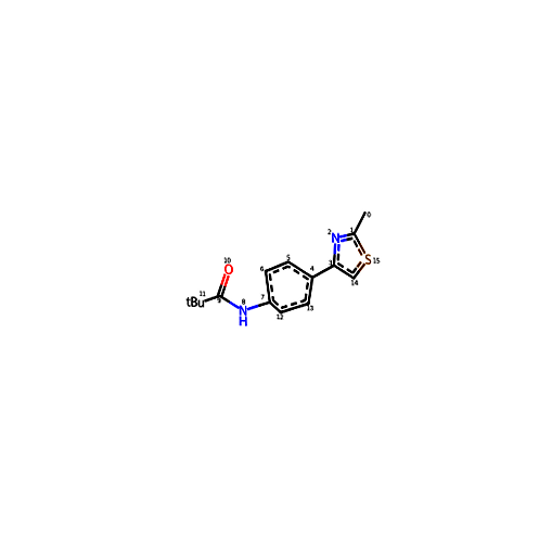 Cc1nc(-c2ccc(NC(=O)C(C)(C)C)cc2)cs1